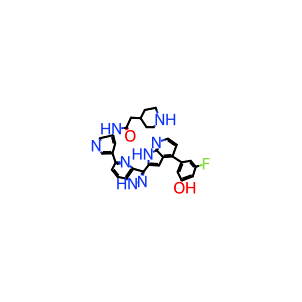 O=C(CC1CCNCC1)Nc1cncc(-c2ccc3[nH]nc(-c4cc5c(-c6cc(O)cc(F)c6)ccnc5[nH]4)c3n2)c1